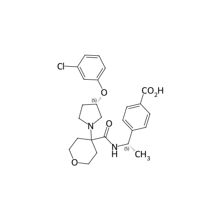 C[C@H](NC(=O)C1(N2CC[C@H](Oc3cccc(Cl)c3)C2)CCOCC1)c1ccc(C(=O)O)cc1